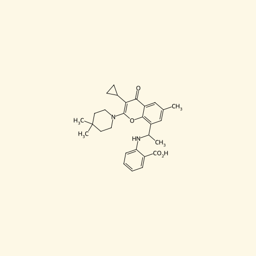 Cc1cc(C(C)Nc2ccccc2C(=O)O)c2oc(N3CCC(C)(C)CC3)c(C3CC3)c(=O)c2c1